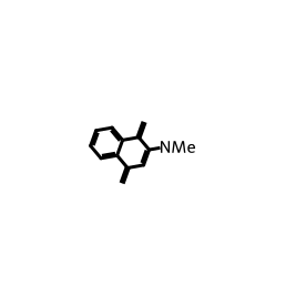 C=c1cc(NC)c(=C)c2ccccc12